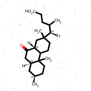 CC[C@H](C(C)CCC(=O)O)C1(C)CCC2[C@@H](C1)C(=O)C[C@@H]1C[C@H](C)CCC21C